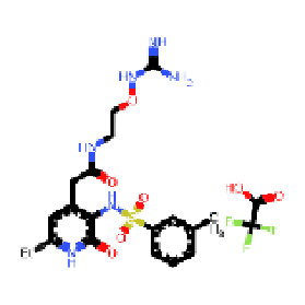 CCc1cc(CC(=O)NCCONC(=N)N)c(NS(=O)(=O)c2cccc(C)c2)c(=O)[nH]1.O=C(O)C(F)(F)F